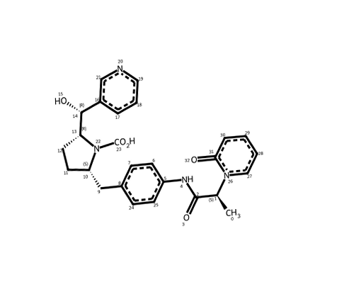 C[C@@H](C(=O)Nc1ccc(C[C@@H]2CC[C@H]([C@H](O)c3cccnc3)N2C(=O)O)cc1)n1ccccc1=O